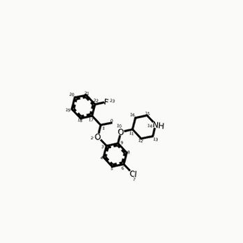 CC(Oc1ccc(Cl)cc1OC1CCNCC1)c1ccccc1F